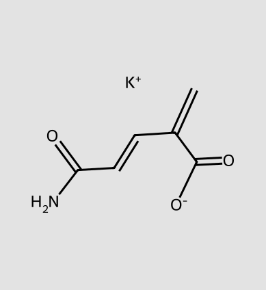 C=C(C=CC(N)=O)C(=O)[O-].[K+]